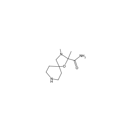 CN1CC2(CCNCC2)OC1(C)C(N)=O